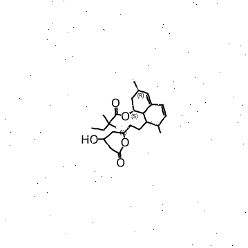 CCC(C)(C)C(=O)O[C@H]1C[C@@H](C)C=C2C=CC(C)C(CC[C@@H]3CC(O)CC(=O)O3)C21